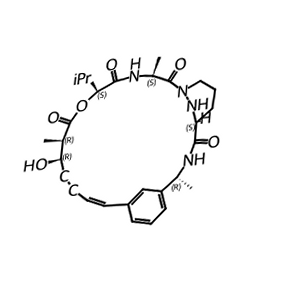 CC(C)[C@@H]1OC(=O)[C@H](C)[C@H](O)CCC=Cc2cccc(c2)[C@@H](C)NC(=O)[C@@H]2CCCN(N2)C(=O)[C@H](C)NC1=O